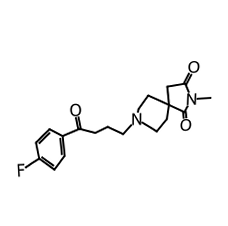 CN1C(=O)CC2(CCN(CCCC(=O)c3ccc(F)cc3)CC2)C1=O